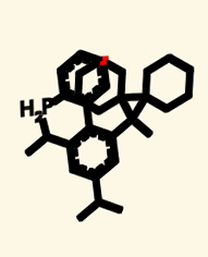 CC(C)c1cc(C(C)C)c(-c2ccccc2P)c(C2(C)C3(CCCCC3)C23CCCCC3)c1